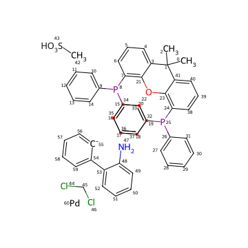 CC1(C)c2cccc(P(c3ccccc3)c3ccccc3)c2Oc2c(P(c3ccccc3)c3ccccc3)cccc21.CS(=O)(=O)O.ClCCl.Nc1ccccc1-c1[c-]cccc1.[Pd]